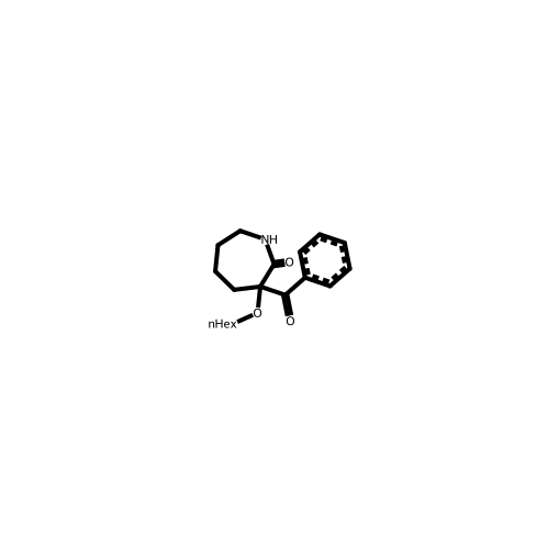 CCCCCCOC1(C(=O)c2ccccc2)CCCCNC1=O